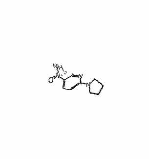 N[N+](=O)c1[c]nc(N2CCCC2)cc1